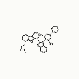 C=CCc1cccc2c1oc1c(-c3nc4ccccc4n3-c3c(C(C)C)cc(-c4ccccc4)cc3C(C)C)cccc12